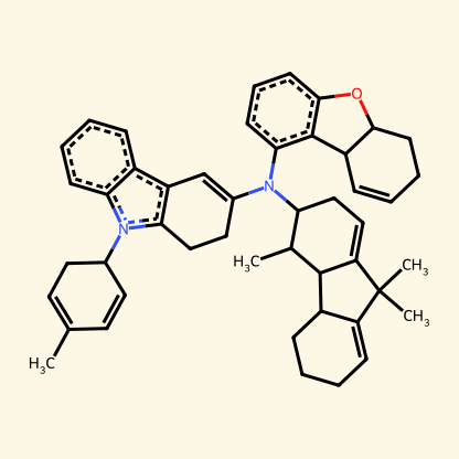 CC1=CCC(n2c3c(c4ccccc42)C=C(N(c2cccc4c2C2C=CCCC2O4)C2CC=C4C(C5CCCC=C5C4(C)C)C2C)CC3)C=C1